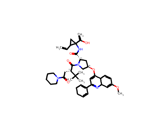 C=CC1CC1(NC(=O)[C@@H]1C[C@@H](OC2=CC(C3=CCCC=C3)=NC3C=C(OC)C=CC23)CN1C(=O)[C@@H](CC(=O)N1CCCCC1)C(C)(C)C)C(=C)O